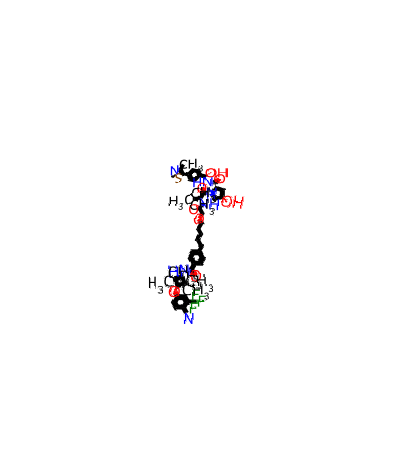 Cc1ncsc1-c1ccc([C@H](O)NC(=O)[C@@H]2C[C@@H](O)CN2C(=O)C(NC(=O)COCCCCCc2ccc(C(=O)N[C@H]3C(C)(C)[C@H](Oc4ccc(C#N)c(C(F)(F)F)c4)C3(C)C)cc2)C(C)(C)C)cc1